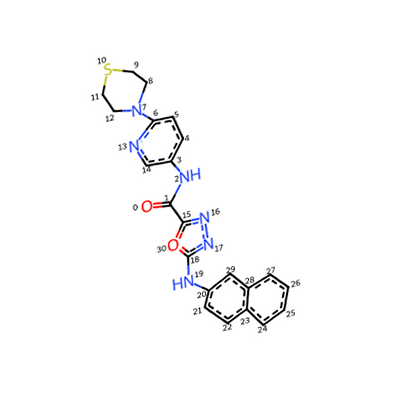 O=C(Nc1ccc(N2CCSCC2)nc1)c1nnc(Nc2ccc3ccccc3c2)o1